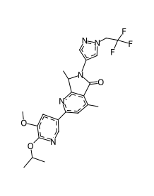 COc1cc(-c2cc(C)c3c(n2)C(C)N(c2cnn(CC(F)(F)F)c2)C3=O)cnc1OC(C)C